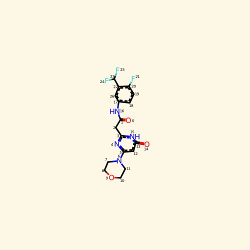 O=C(Cc1nc(N2CCOCC2)cc(=O)[nH]1)Nc1ccc(F)c(C(F)F)c1